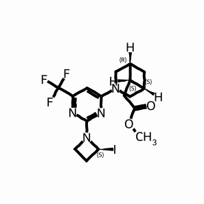 COC(=O)C[C@H]1[C@@H]2C[C@H]1CN(c1cc(C(F)(F)F)nc(N3CC[C@@H]3I)n1)C2